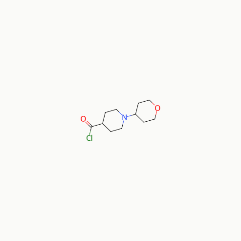 O=C(Cl)C1CCN(C2CCOCC2)CC1